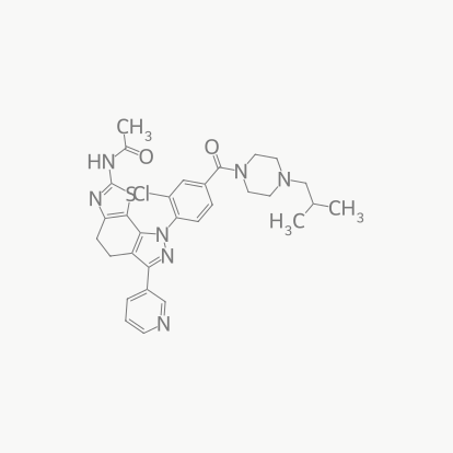 CC(=O)Nc1nc2c(s1)-c1c(c(-c3cccnc3)nn1-c1ccc(C(=O)N3CCN(CC(C)C)CC3)cc1Cl)CC2